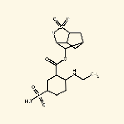 CCNC1CCC(S(=O)(=O)O)CC1C(=O)OC1C2CC3C1OS(=O)(=O)C3C2